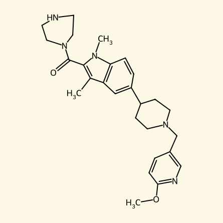 COc1ccc(CN2CCC(c3ccc4c(c3)c(C)c(C(=O)N3CCNCC3)n4C)CC2)cn1